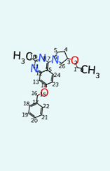 CCOC1CCN(c2nc(C)nc3cc(OCc4ccccc4)ccc23)C1